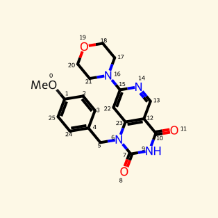 COc1ccc(Cn2c(=O)[nH]c(=O)c3cnc(N4CCOCC4)cc32)cc1